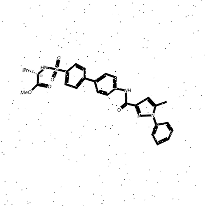 COC(=O)[C@@H](NS(=O)(=O)c1ccc(-c2ccc(NC(=O)c3cc(C)n(-c4ccccc4)n3)cc2)cc1)C(C)C